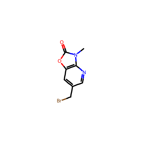 Cn1c(=O)oc2cc(CBr)cnc21